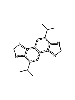 CC(C)c1cc2c3c(c(C(C)C)cc2c2c1=NCN=2)=NCN=3